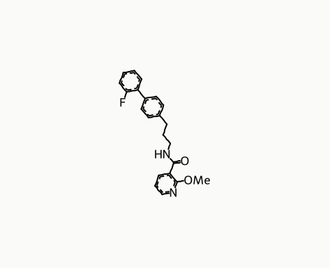 COc1ncccc1C(=O)NCCCc1ccc(-c2ccccc2F)cc1